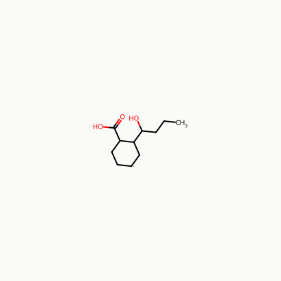 CCCC(O)C1C[CH]CCC1C(=O)O